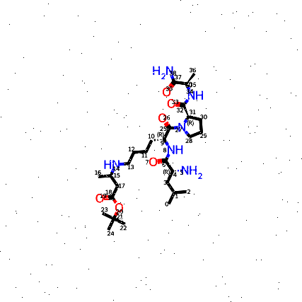 CC(C)C[C@@H](N)C(=O)N[C@H](CCCCNC(C)CC(=O)OC(C)(C)C)C(=O)N1CCC[C@@H]1C(=O)N[C@H](C)C(N)=O